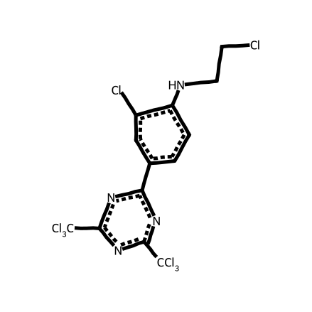 ClCCNc1ccc(-c2nc(C(Cl)(Cl)Cl)nc(C(Cl)(Cl)Cl)n2)cc1Cl